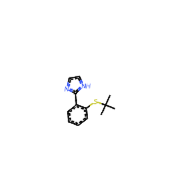 CC(C)(C)Sc1ccccc1-c1ncc[nH]1